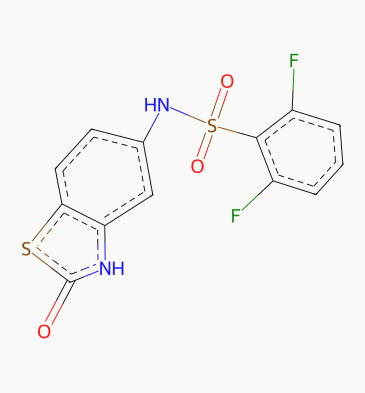 O=c1[nH]c2cc(NS(=O)(=O)c3c(F)cccc3F)ccc2s1